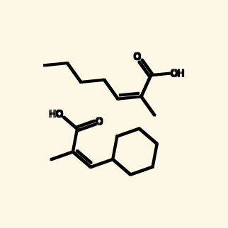 CC(=CC1CCCCC1)C(=O)O.CCCCC=C(C)C(=O)O